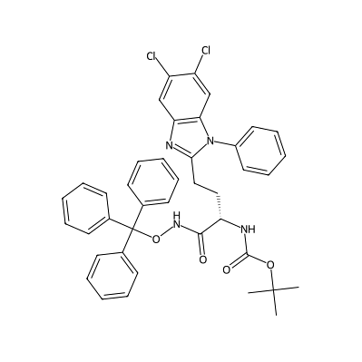 CC(C)(C)OC(=O)N[C@@H](CCc1nc2cc(Cl)c(Cl)cc2n1-c1ccccc1)C(=O)NOC(c1ccccc1)(c1ccccc1)c1ccccc1